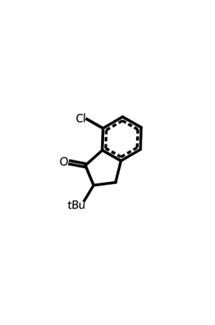 CC(C)(C)C1Cc2cccc(Cl)c2C1=O